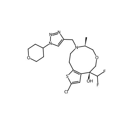 C[C@H]1COC[C@](O)(C(F)F)c2cc(Cl)sc2CCN1Cc1cn(C2CCOCC2)nn1